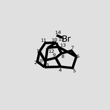 C1C2CC3C4CC5CC(C14)C(C2)C3C5.CBr